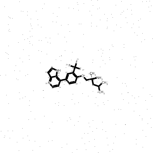 CC(C)C[C@](C)(N)COc1ccc(-c2ccnc3cc[nH]c23)cc1C(F)(F)F